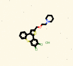 Cl.Clc1cc2c(cc1Cl)-c1sc(COCCN3CCCCC3)cc1-c1ccccc1S2